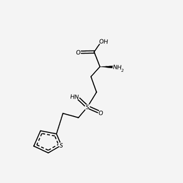 N=S(=O)(CCc1cccs1)CC[C@H](N)C(=O)O